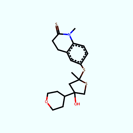 CN1C(=S)CCc2cc(SC3(C)CC(O)(C4CCOCC4)CS3)ccc21